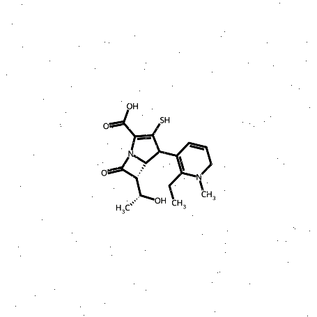 CCC1=C(C2C(S)=C(C(=O)O)N3C(=O)[C@@H]([C@@H](C)O)C23)C=CCN1C